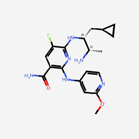 COc1cc(Nc2nc(N[C@H](CC3CC3)[C@H](C)N)c(F)cc2C(N)=O)ccn1